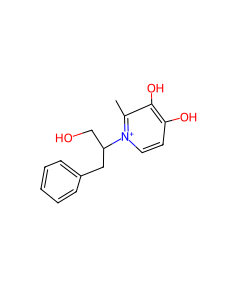 Cc1c(O)c(O)cc[n+]1C(CO)Cc1ccccc1